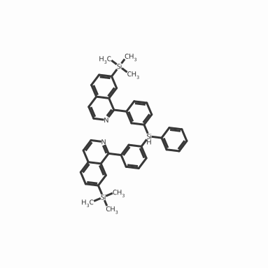 C[Si](C)(C)c1ccc2ccnc(-c3cccc([SiH](c4ccccc4)c4cccc(-c5nccc6ccc([Si](C)(C)C)cc56)c4)c3)c2c1